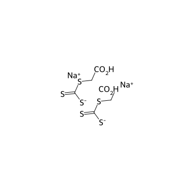 O=C(O)CSC(=S)[S-].O=C(O)CSC(=S)[S-].[Na+].[Na+]